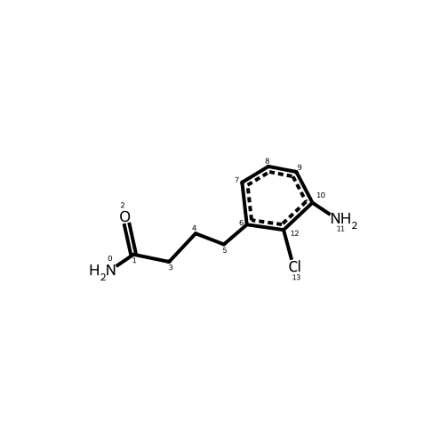 NC(=O)CCCc1cccc(N)c1Cl